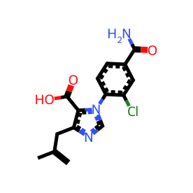 C=C(C)Cc1ncn(-c2ccc(C(N)=O)cc2Cl)c1C(=O)O